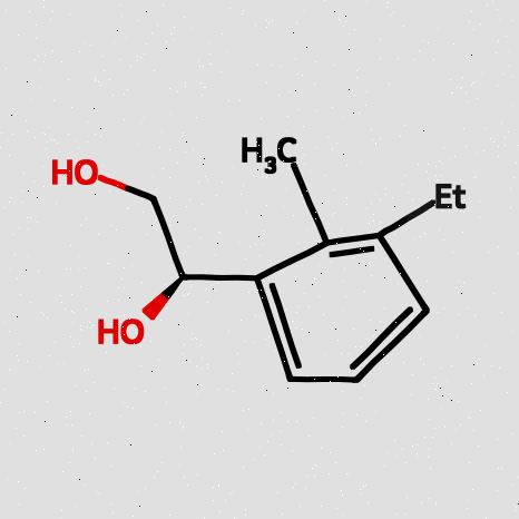 CCc1cccc([C@@H](O)CO)c1C